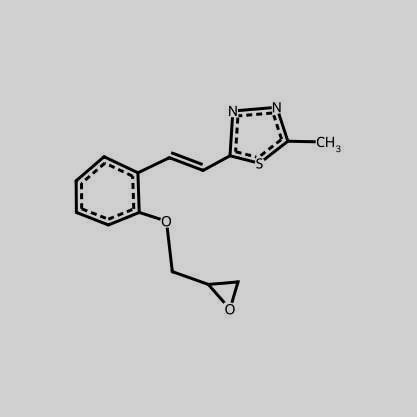 Cc1nnc(C=Cc2ccccc2OCC2CO2)s1